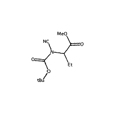 CCC(C(=O)OC)N(C#N)C(=O)OC(C)(C)C